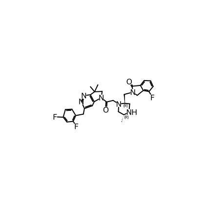 C[C@@H]1CN(CC(=O)N2CC(C)(C)c3nnc(Cc4ccc(F)cc4F)cc32)[C@@H](CN2Cc3c(F)cccc3C2=O)CN1